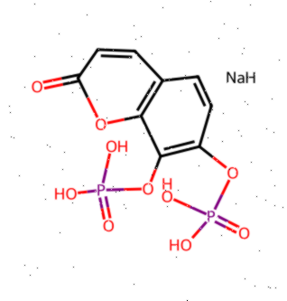 O=c1ccc2ccc(OP(=O)(O)O)c(OP(=O)(O)O)c2o1.[NaH]